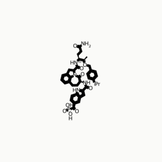 CC(C)c1ccc(CO[C@H](C)[C@H](CCC(N)=O)NC(=O)C2Cc3cccc4c3N2C(=O)[C@@H](NC(=O)c2cc3cc(C(=O)P(=O)(O)O)ccc3[nH]2)CC4)cc1